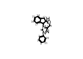 c1ccc(-[n+]2cn3c(n2)CO[C@@H]2Cc4ccccc4C23)cc1